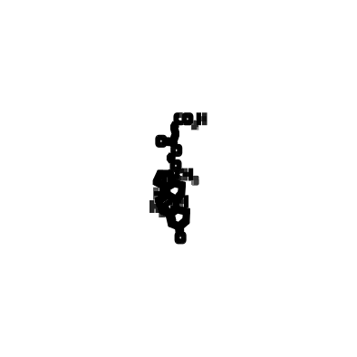 C[C@]12CC[C@H]3[C@@H](CCC4=CC(=O)CC[C@@]43C)[C@@H]1CC[C@@H]2OCOC(=O)CCC(=O)O